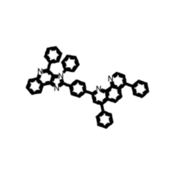 c1ccc(-c2ccnc3c2ccc2c(-c4ccccc4)cc(-c4ccc(-c5nc6c7ccccc7nc(-c7ccccc7)c6n5-c5ccccc5)cc4)nc23)cc1